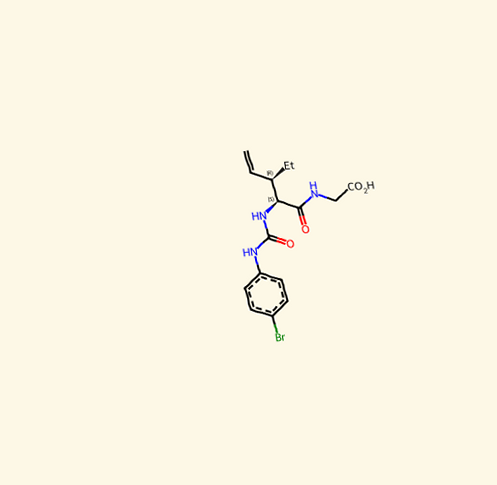 C=C[C@@H](CC)[C@H](NC(=O)Nc1ccc(Br)cc1)C(=O)NCC(=O)O